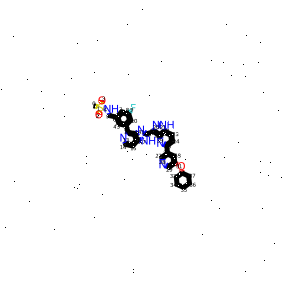 CS(=O)(=O)NCc1cc(F)cc(-c2nccc3[nH]c(-c4n[nH]c5ccc(-c6cncc(OC7CCCCC7)c6)nc45)nc23)c1